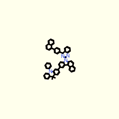 CC1(C)c2ccccc2N(c2ccccc2)c2cc(-c3ccc4c(c3)c3c5ccccc5ccc3n4-c3nc(-c4ccc(-c5cccc6ccccc56)cc4)c4ccccc4n3)ccc21